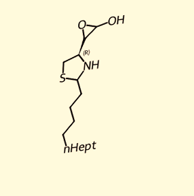 CCCCCCCCCCCC1N[C@H](C2OC2O)CS1